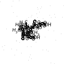 [C-]#[N+]/C(=C\c1sc(/N=N/c2cc(OC)c(N(CC)CC)cc2Nc2nc(Nc3cc(N(CC)CC)c(OC)cc3/N=N/c3nc(N4CCCCC4)c(/C=C(\C#N)N4C(=O)c5ccc(S(=O)(=O)O)cc5C4=O)s3)nc(SCC)n2)nc1N1CCCCC1)N1C(=O)c2ccc(S(=O)(=O)O)cc2C1=O